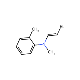 CC/C=C/N(C)c1ccccc1C